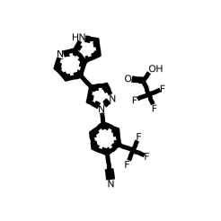 N#Cc1ccc(-n2cc(-c3ccnc4[nH]ccc34)cn2)cc1C(F)(F)F.O=C(O)C(F)(F)F